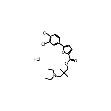 CCN(CC)CC(C)(C)COC(=O)c1ccc(-c2ccc(Cl)c(Cl)c2)o1.Cl